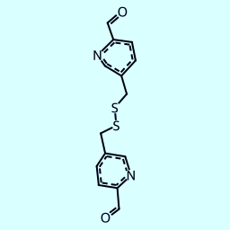 O=Cc1ccc(CSSCc2ccc(C=O)nc2)cn1